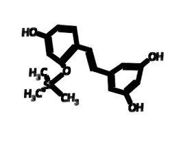 C[Si](C)(C)Oc1cc(O)ccc1C=Cc1cc(O)cc(O)c1